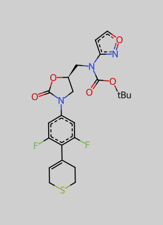 CC(C)(C)OC(=O)N(C[C@H]1CN(c2cc(F)c(C3=CCSCC3)c(F)c2)C(=O)O1)c1ccon1